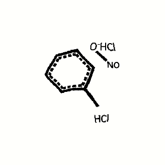 Cc1ccccc1.Cl.Cl.O=[NH+][O-]